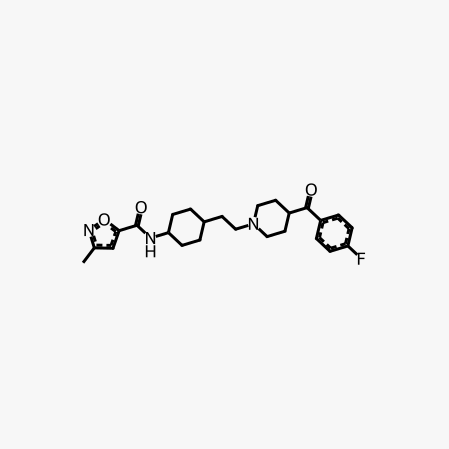 Cc1cc(C(=O)NC2CCC(CCN3CCC(C(=O)c4ccc(F)cc4)CC3)CC2)on1